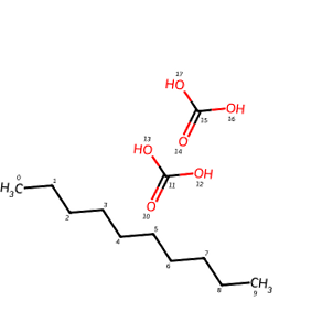 CCCCCCCCCC.O=C(O)O.O=C(O)O